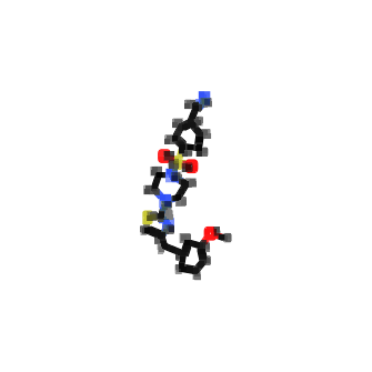 COc1cccc(Cc2csc(N3CCN(S(=O)(=O)c4ccc(C#N)cc4)CC3)n2)c1